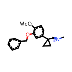 C/N=C/C1(c2ccc(OC)c(OCc3ccccc3)c2)CC1